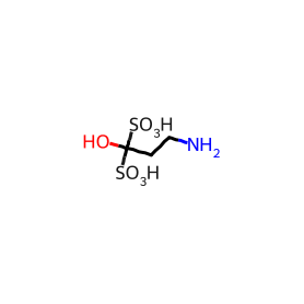 NCCC(O)(S(=O)(=O)O)S(=O)(=O)O